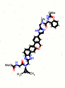 CCCN(Cc1ncc(-c2ccc3c(c2)COc2cc4c(ccc5nc(CN(C(=O)CNC(=O)OC)C6C(C)[C@H]6C)[nH]c54)cc2-3)[nH]1)C(=O)[C@H](NC(=O)OC)c1ccccc1